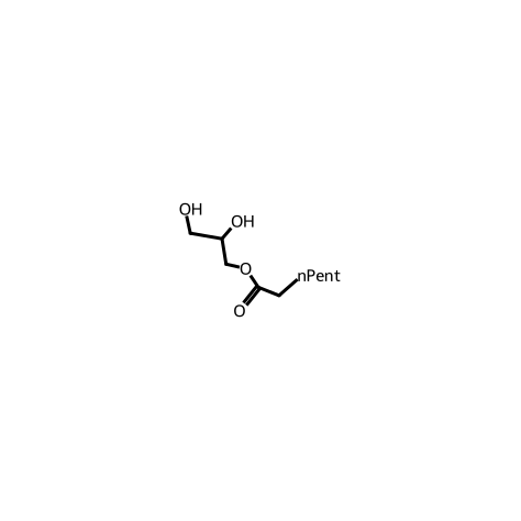 CCCCCCC(=O)OCC(O)CO